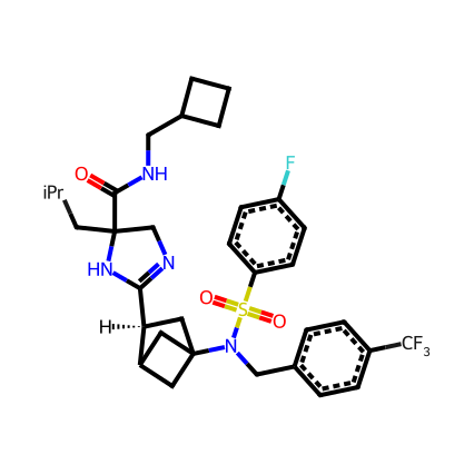 CC(C)CC1(C(=O)NCC2CCC2)CN=C([C@H]2CC3(N(Cc4ccc(C(F)(F)F)cc4)S(=O)(=O)c4ccc(F)cc4)CC2C3)N1